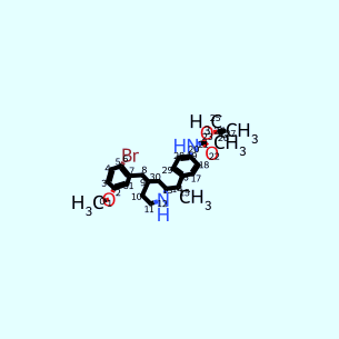 COc1ccc(Br)c(CC2CCNC(C(C)c3ccc(NC(=O)OC(C)(C)C)cc3)C2)c1